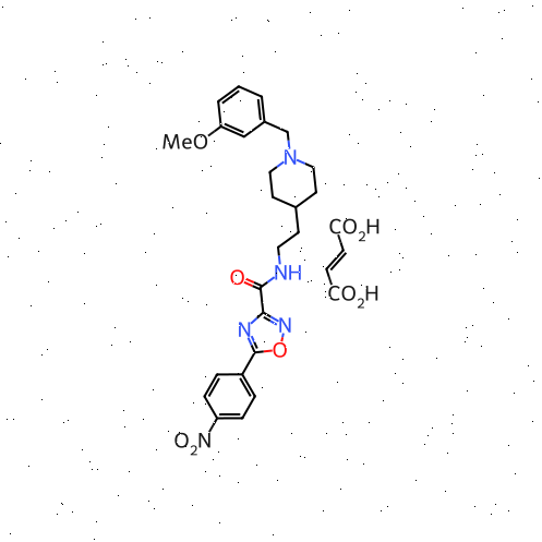 COc1cccc(CN2CCC(CCNC(=O)c3noc(-c4ccc([N+](=O)[O-])cc4)n3)CC2)c1.O=C(O)C=CC(=O)O